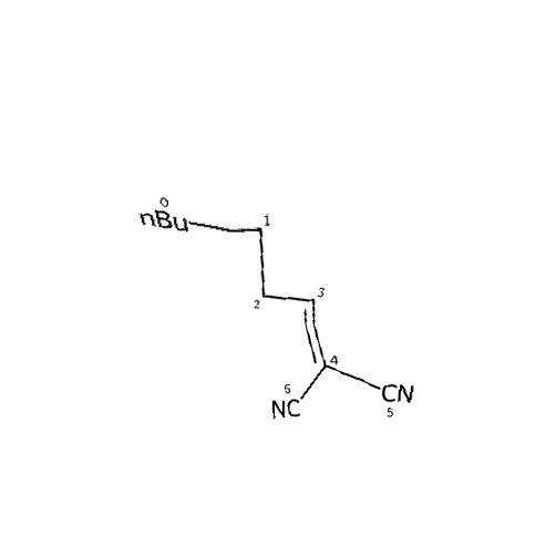 CCCCCCC=C(C#N)C#N